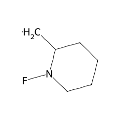 [CH2]C1CCCCN1F